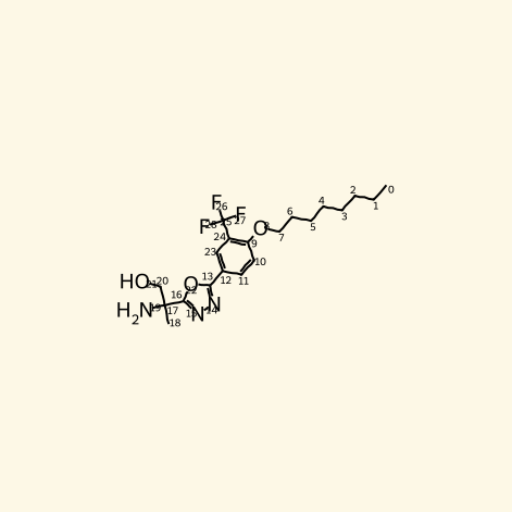 CCCCCCCCOc1ccc(-c2nnc(C(C)(N)CO)o2)cc1C(F)(F)F